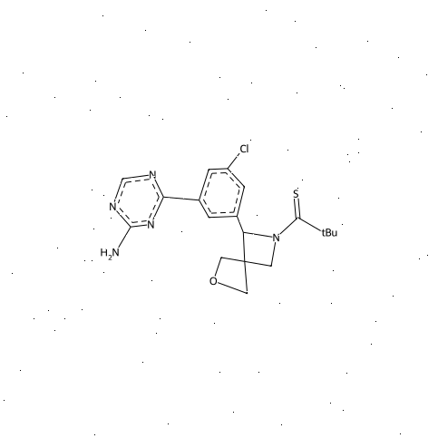 CC(C)(C)C(=S)N1CC2(COC2)C1c1cc(Cl)cc(-c2ncnc(N)n2)c1